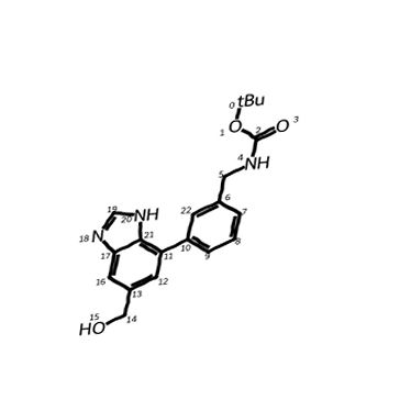 CC(C)(C)OC(=O)NCc1cccc(-c2cc(CO)cc3nc[nH]c23)c1